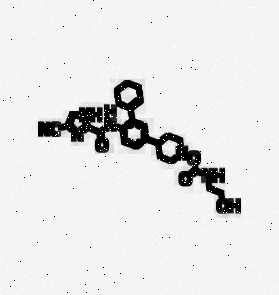 N#Cc1c[nH]c(C(=O)Nc2ccc(C3CCN(OC(=O)NCCO)CC3)cc2C2=CCCCC2)n1